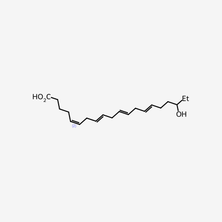 CCC(O)CCC=CCC=CCC=CC/C=C\CCCC(=O)O